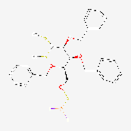 CCSC(SCC)[C@@H](OCc1ccccc1)[C@@H](OCc1ccccc1)[C@@H](COSP(I)I)OCc1ccccc1